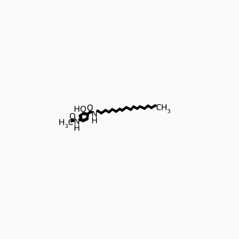 CCCCCCCCCCCCCCCCCCNC(=O)c1ccc(NC(C)=O)cc1O